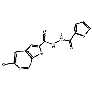 O=C(NNC(=O)c1cccs1)c1cc2cc(Cl)ncc2[nH]1